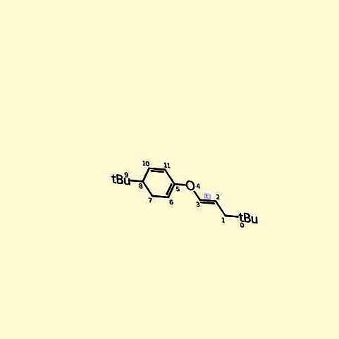 CC(C)(C)C/C=C/OC1=CCC(C(C)(C)C)C=C1